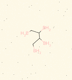 BCC(B)C(B)CB